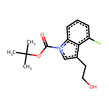 CC(C)(C)OC(=O)n1cc(CCO)c2c(F)cccc21